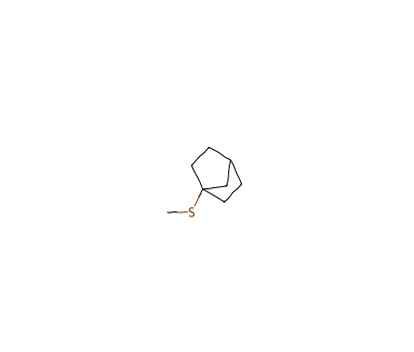 CSC12CCC(CC1)C2